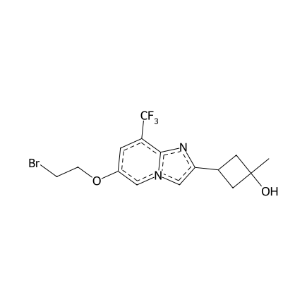 CC1(O)CC(c2cn3cc(OCCBr)cc(C(F)(F)F)c3n2)C1